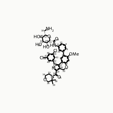 COc1cc2c(cc1-c1cccc(NC(=O)[C@H]3O[C@@H](CN)[C@H](O)[C@@H](O)[C@H]3O)c1)-c1c(c(C(=O)N3CCOCC3(C)C)nn1-c1cc(Cl)cc(Cl)c1)CO2